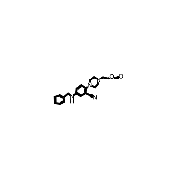 N#Cc1cc(NCc2ccccc2)ccc1N1CCN(CCOC=O)CC1